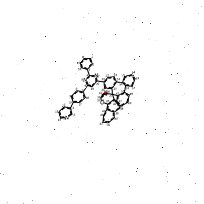 c1ccc(-c2nc(-c3ccc(-c4cccnc4)cc3)cc(-c3ccc4c(c3)C3(c5ccccc5Oc5c3ccc3ccccc53)c3ccccc3-c3ccccc3-4)n2)cc1